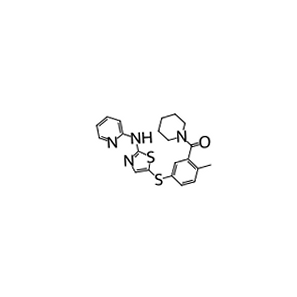 Cc1ccc(Sc2cnc(Nc3ccccn3)s2)cc1C(=O)N1CCCCC1